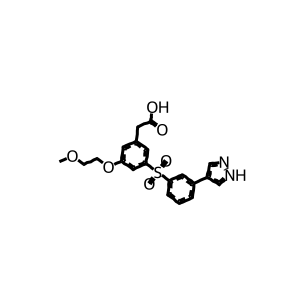 COCCOc1cc(CC(=O)O)cc(S(=O)(=O)c2cccc(-c3cn[nH]c3)c2)c1